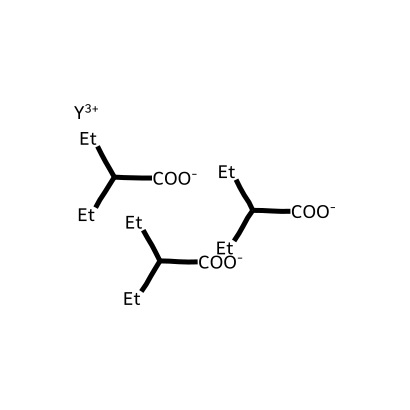 CCC(CC)C(=O)[O-].CCC(CC)C(=O)[O-].CCC(CC)C(=O)[O-].[Y+3]